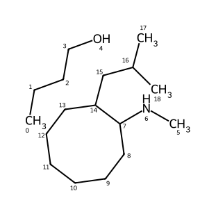 CCCCO.CNC1CCCCCCC1CC(C)C